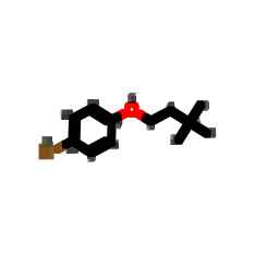 CC(C)(C)CCOc1ccc(Br)cc1